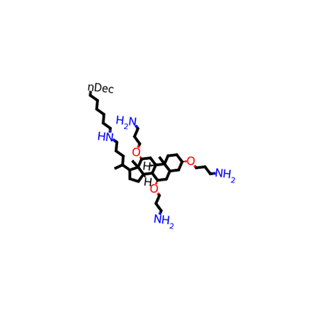 CCCCCCCCCCCCCCCCNCCCC(C)C1CC[C@H]2C3[C@H](OCCCN)CC4C[C@H](OCCCN)CCC4(C)[C@H]3C[C@H](OCCCN)C12C